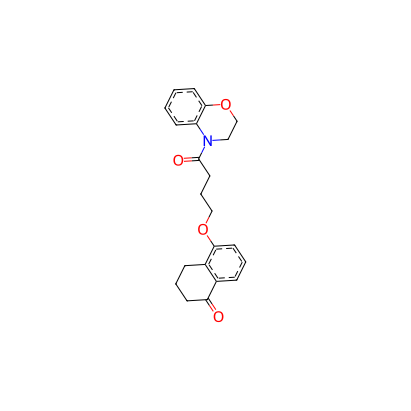 O=C1CCCc2c(OCCCC(=O)N3CCOc4ccccc43)cccc21